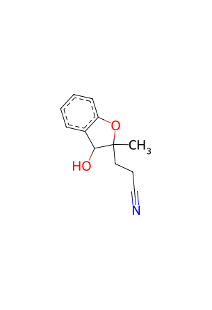 CC1(CCC#N)Oc2ccccc2C1O